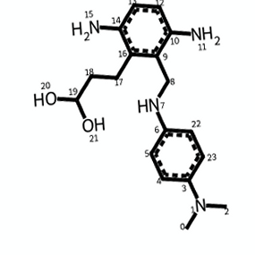 CN(C)c1ccc(NCc2c(N)ccc(N)c2CCC(O)O)cc1